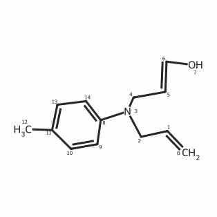 C=CCN(CC=CO)c1ccc(C)cc1